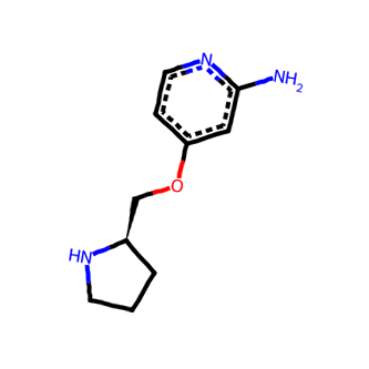 Nc1cc(OC[C@H]2CCCN2)ccn1